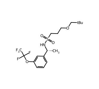 C[C@@H](NS(=O)(=O)CCCOCC(C)(C)C)c1cccc(OC(F)(F)C(F)(F)F)c1